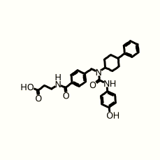 O=C(O)CCNC(=O)c1ccc(CN(C(=O)Nc2ccc(O)cc2)C2CCC(c3ccccc3)CC2)cc1